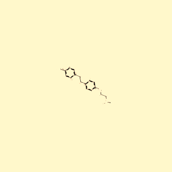 CCN(CC)CCNc1ccc(CCc2ccc(Cl)cc2)cc1